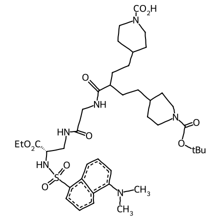 CCOC(=O)[C@H](CNC(=O)CNC(=O)C(CCC1CCN(C(=O)O)CC1)CCC1CCN(C(=O)OC(C)(C)C)CC1)NS(=O)(=O)c1cccc2c(N(C)C)cccc12